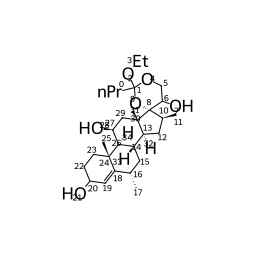 CCCC1(OCC)OCC(O)[C@@]2(O1)[C@@H](C)C[C@H]1[C@@H]3C[C@H](C)C4=CC(O)CC[C@]4(C)[C@H]3[C@@H](O)C[C@@]12C